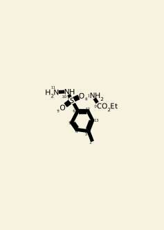 CCOC(N)=O.Cc1ccc(S(=O)(=O)NN)cc1